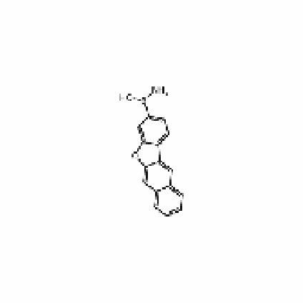 NB(O)c1ccc2c(c1)oc1cc3ccccc3cc12